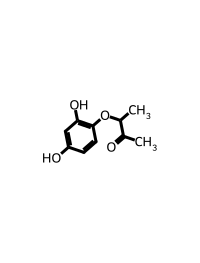 CC(=O)C(C)Oc1ccc(O)cc1O